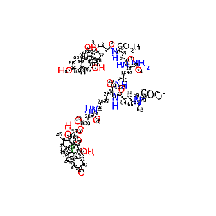 C[C@H](CCC(=O)N[C@@H](CCC(=O)N[C@@H](CCCCNC(=O)[C@H](CCCCNC(=O)CCC(=O)OCC(=O)[C@@]1(O)[C@H](C)C[C@H]2[C@@H]3CCC4=CC(=O)C=C[C@]4(C)[C@@]3(F)[C@@H](O)C[C@@]21C)NC(=O)CCC[N+](C)(C)CC(=O)[O-])C(N)=O)C(=O)O)[C@H]1CC[C@H]2C3[C@H](O)C[C@@H]4C[C@H](O)CC[C@]4(C)[C@H]3C[C@H](O)[C@]12C